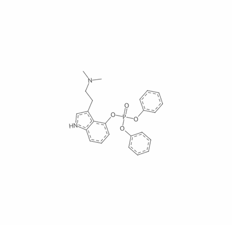 CN(C)CCc1c[nH]c2cccc(OP(=O)(Oc3ccccc3)Oc3ccccc3)c12